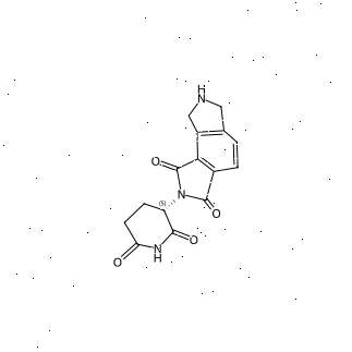 O=C1CC[C@H](N2C(=O)c3ccc4c(c3C2=O)CNC4)C(=O)N1